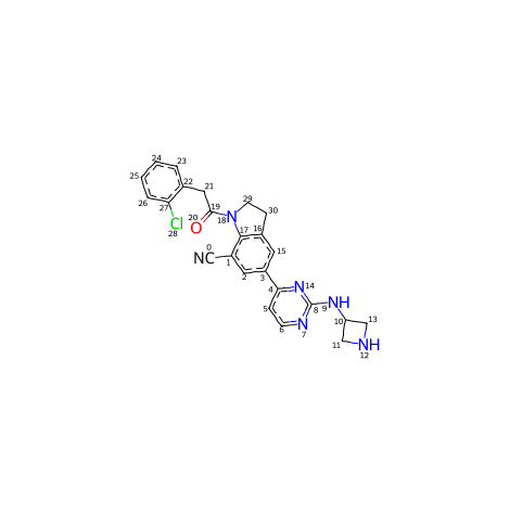 N#Cc1cc(-c2ccnc(NC3CNC3)n2)cc2c1N(C(=O)Cc1ccccc1Cl)CC2